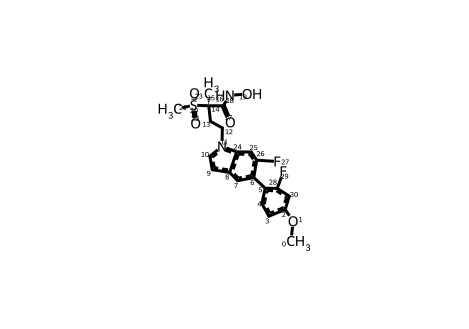 COc1ccc(-c2cc3ccn(CC[C@](C)(C(=O)NO)S(C)(=O)=O)c3cc2F)c(F)c1